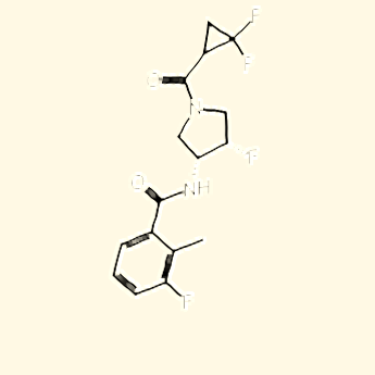 Cc1c(F)cccc1C(=O)N[C@@H]1CN(C(=O)C2CC2(F)F)C[C@@H]1F